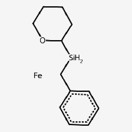 [Fe].c1ccc(C[SiH2]C2CCCCO2)cc1